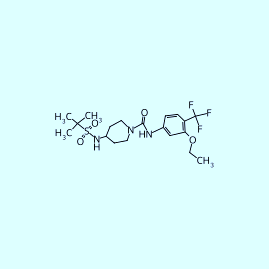 CCOc1cc(NC(=O)N2CCC(NS(=O)(=O)C(C)(C)C)CC2)ccc1C(F)(F)F